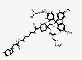 CCN(CC)CC.COc1ccc(C(OCC2(COC(=O)CCC(=O)O)CCN(C(=O)CCCCCNC(=O)CC3CC4C=CC3C4)CC2)(c2ccc(OC)cc2)c2ccc(OC)cc2)cc1